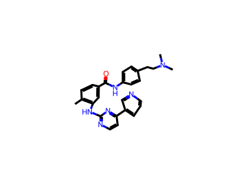 Cc1ccc(C(=O)Nc2ccc(CCN(C)C)cc2)cc1Nc1nccc(-c2cccnc2)n1